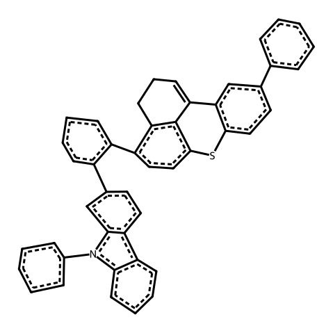 C1=C2c3cc(-c4ccccc4)ccc3Sc3ccc(-c4ccccc4-c4ccc5c6ccccc6n(-c6ccccc6)c5c4)c(c32)CC1